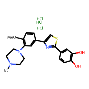 CCN1CCN(c2cc(-c3csc(-c4ccc(O)c(O)c4)n3)ccc2OC)CC1.Cl.Cl.Cl